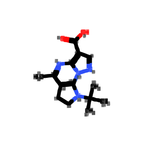 Cc1nc2c(C(=O)O)cnn2c2c1CCN2C(C)(C)C